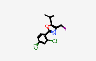 CC(C)c1oc(-c2ccc(Cl)cc2Cl)nc1CI